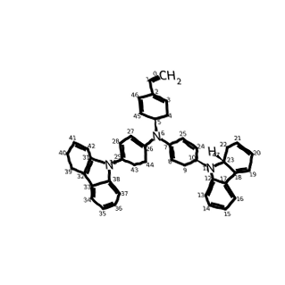 C=CC1=CC[C@@H](N(C2=CC[C@H](N3c4ccccc4C4=CC=CC[C@H]43)C=C2)C2=CC=C(n3c4c(c5ccccc53)CCC=C4)CC2)C=C1